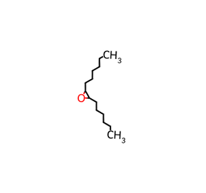 CCCCCCC1OC1CCCCCC